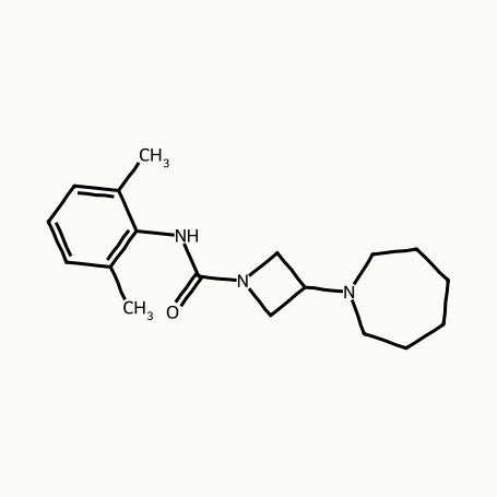 Cc1cccc(C)c1NC(=O)N1CC(N2CCCCCC2)C1